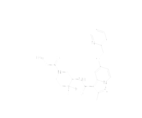 Cc1nn2ccc(OCc3ccccn3)cc2c1C(=O)NC1CN(C(=O)OC(C)(C)C)CCC1(F)F